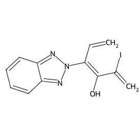 C=C/C(=C(/O)C(=C)I)n1nc2ccccc2n1